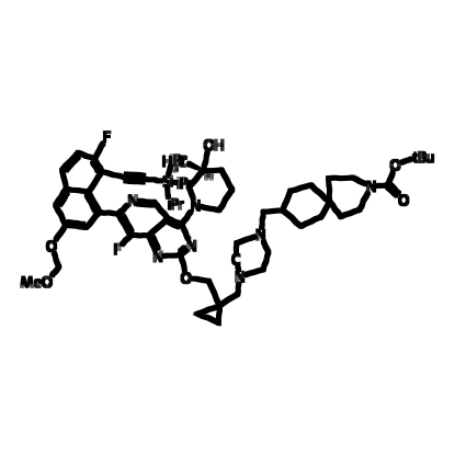 COCOc1cc(-c2ncc3c(N4CCC[C@@](C)(O)C4)nc(OCC4(CN5CCN(CC6CCC7(CC6)CCN(C(=O)OC(C)(C)C)CC7)CC5)CC4)nc3c2F)c2c(C#C[Si](C(C)C)(C(C)C)C(C)C)c(F)ccc2c1